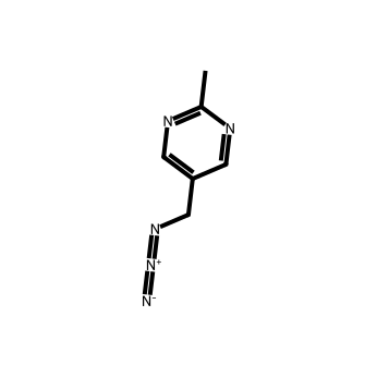 Cc1ncc(CN=[N+]=[N-])cn1